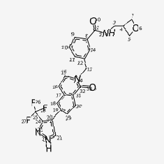 O=C(NCC1COC1)c1cccc(Cn2ccc3cc(-c4c[nH]nc4C(F)(F)F)ccc3c2=O)c1